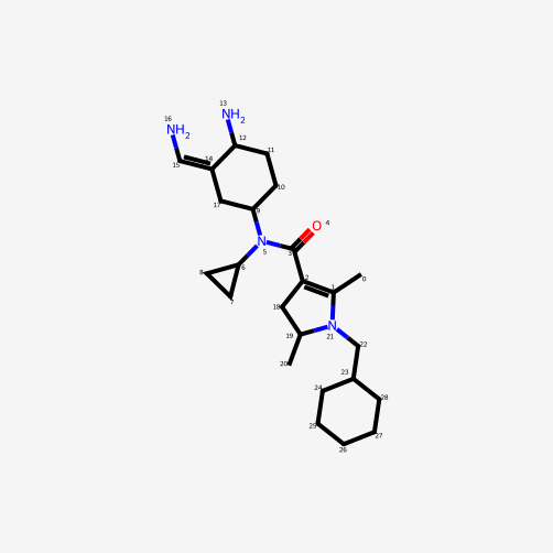 CC1=C(C(=O)N(C2CC2)C2CCC(N)/C(=C\N)C2)CC(C)N1CC1CCCCC1